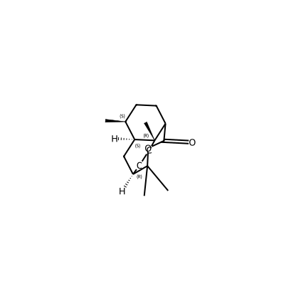 C[C@H]1CCC2C(=O)OC(C)(C)[C@@H]3CC[C@]2(C)[C@H]1C3